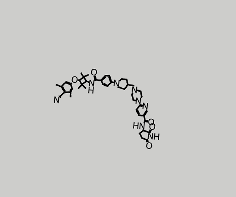 Cc1cc(OC2C(C)(C)C(NC(=O)c3ccc(N4CCC(CN5CCN(c6ccc(C(=O)NC7CCC(=O)NC7=O)cn6)CC5)CC4)cc3)C2(C)C)cc(C)c1C#N